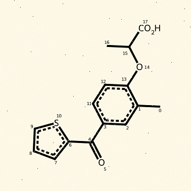 Cc1cc(C(=O)c2cccs2)ccc1OC(C)C(=O)O